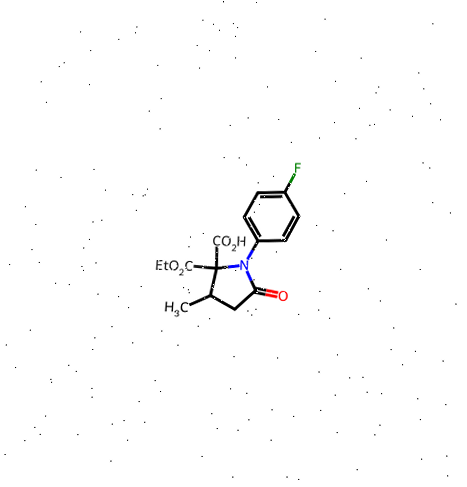 CCOC(=O)C1(C(=O)O)C(C)CC(=O)N1c1ccc(F)cc1